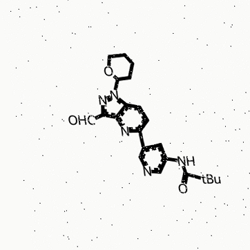 CC(C)(C)C(=O)Nc1cncc(-c2ccc3c(n2)c(C=O)nn3C2CCCCO2)c1